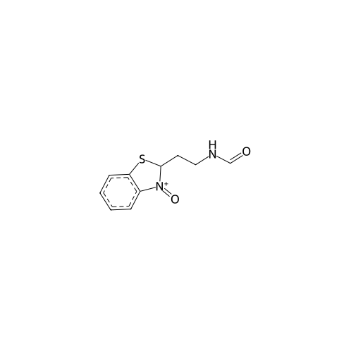 O=CNCCC1Sc2ccccc2[N+]1=O